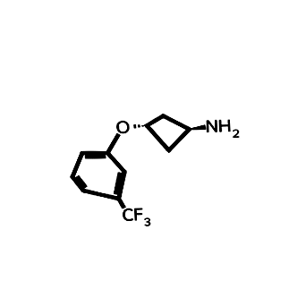 N[C@H]1C[C@H](Oc2cccc(C(F)(F)F)c2)C1